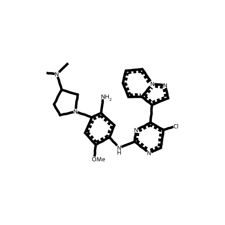 COc1cc(N2CCC(N(C)C)C2)c(N)cc1Nc1ncc(Cl)c(-c2cnn3ccccc23)n1